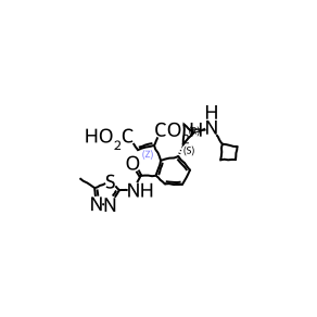 Cc1nnc(NC(=O)c2cccc([C@@H]3C[C@H]3NC3CCC3)c2/C(=C/C(=O)O)C(=O)O)s1